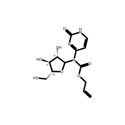 C=CCOC(=O)N(c1cc[nH]c(=O)n1)C1O[C@H](CO)[C@@H](O)[C@@H]1O